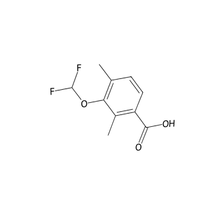 Cc1ccc(C(=O)O)c(C)c1OC(F)F